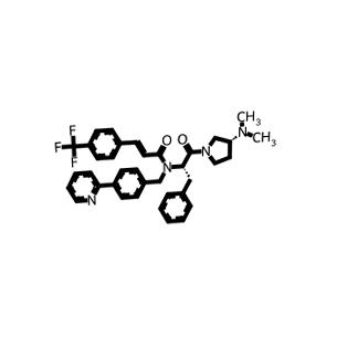 CN(C)[C@@H]1CCN(C(=O)[C@H](Cc2ccccc2)N(Cc2ccc(-c3ccccn3)cc2)C(=O)/C=C/c2ccc(C(F)(F)F)cc2)C1